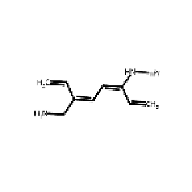 C=C/C(=C\C=C(/C=C)NCCC)CN